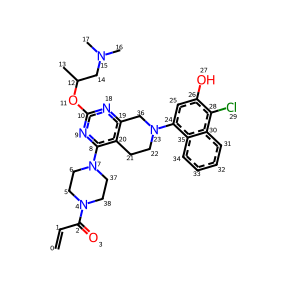 C=CC(=O)N1CCN(c2nc(OC(C)CN(C)C)nc3c2CCN(c2cc(O)c(Cl)c4ccccc24)C3)CC1